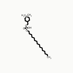 CCCCCCCCCCCCCCCCOP(=O)(O)OCC1CC[N+](C)(C)CC1